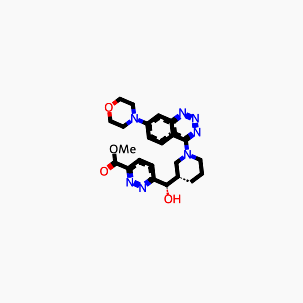 COC(=O)c1ccc([C@@H](O)[C@H]2CCCN(c3nnnc4cc(N5CCOCC5)ccc34)C2)nn1